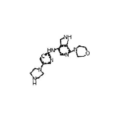 c1cc(Nc2cnc(N3CCOCC3)c3c2CNC3)ncc1N1CCNCC1